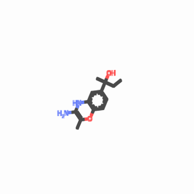 CCC(C)(O)c1ccc2c(c1)NC(N)=C(C)O2